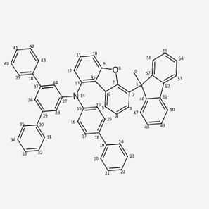 CC1(c2cccc3c2oc2cccc(N(c4ccc(-c5ccccc5)cc4)c4cc(-c5ccccc5)cc(-c5ccccc5)c4)c23)c2ccccc2-c2ccccc21